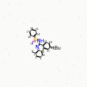 Cc1cccc(C)c1/N=C(/NP(I)c1ccccc1)c1ccc(C(C)(C)C)cc1